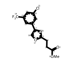 COC(=O)CCc1nc(-c2cc(Cl)cc(C(F)(F)F)c2)co1